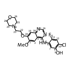 COc1cc2c(Nc3cc(O)c(Cl)cc3F)ncnc2cc1OCCN1CCOCC1